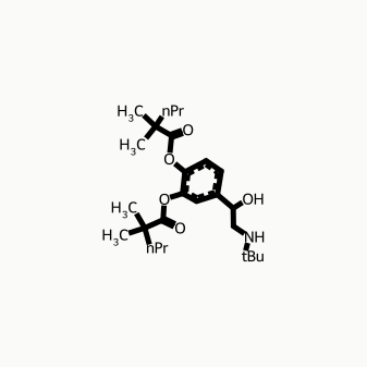 CCCC(C)(C)C(=O)Oc1ccc(C(O)CNC(C)(C)C)cc1OC(=O)C(C)(C)CCC